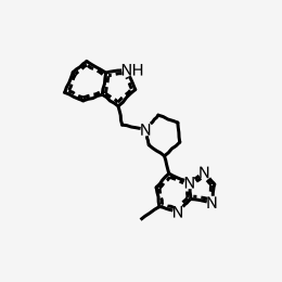 Cc1cc(C2CCCN(Cc3c[nH]c4ccccc34)C2)n2ncnc2n1